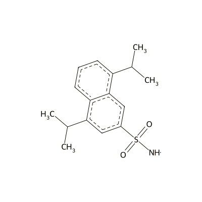 CC(C)c1cc(S([NH])(=O)=O)cc2c(C(C)C)cccc12